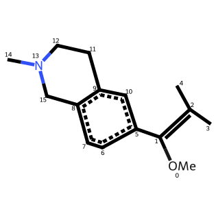 COC(=C(C)C)c1ccc2c(c1)CCN(C)C2